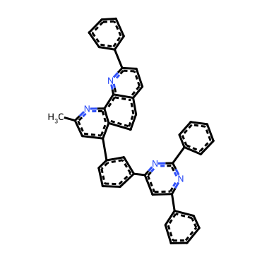 Cc1cc(-c2cccc(-c3cc(-c4ccccc4)nc(-c4ccccc4)n3)c2)c2ccc3ccc(-c4ccccc4)nc3c2n1